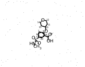 CNS(=O)(=O)c1ccc(OC2CCOCC2)c(C(=O)O)c1